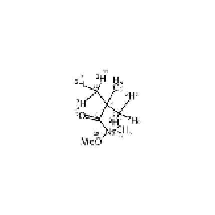 [2H]C([2H])([2H])C(C)(C(=O)N(C)OC)C([2H])([2H])[2H]